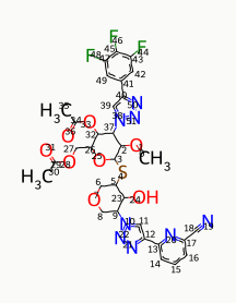 COC1C(SC2COCC(n3cc(-c4cccc(C#N)n4)nn3)C2O)OC(COC(C)=O)C(OC(C)=O)C1n1cc(-c2cc(F)c(F)c(F)c2)nn1